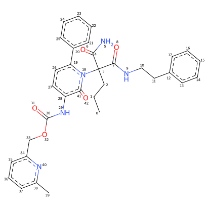 CCCC(C(N)=O)(C(=O)NCCc1ccccc1)n1c(-c2ccccc2)ccc(NC(=O)OCc2cccc(C)n2)c1=O